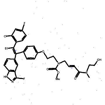 CC/C(=C(/c1ccc(OCCN(C/C=C/C(=O)N(C)CCO)C(=O)OC(C)(C)C)cc1)c1ccc2[nH]nc(F)c2c1)c1ccc(F)cc1Cl